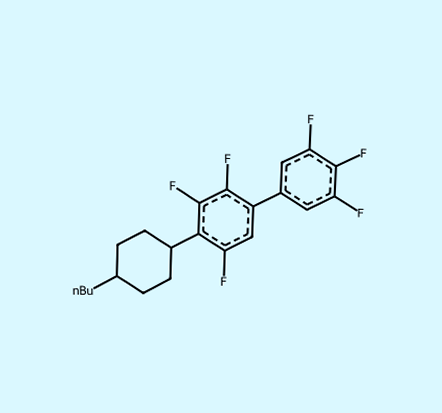 CCCCC1CCC(c2c(F)cc(-c3cc(F)c(F)c(F)c3)c(F)c2F)CC1